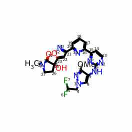 COc1nn(CC(F)F)cc1Nc1nccc(-c2cccc(-c3cc(C4(O)CCN(C)C4=O)on3)n2)n1